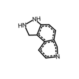 c1cc2c3c(ccc2cn1)NNC3